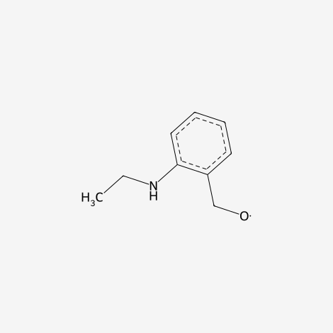 CCNc1ccccc1C[O]